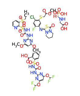 CCS(=O)(=O)c1cccnc1S(=O)(=O)NC(=O)Nc1nc(OC)cc(OC)n1.COC(=O)CSc1cc(/N=c2\sc(=O)n3n2CCCC3)c(F)cc1Cl.O=C(Nc1nc(OC(F)F)cc(OC(F)F)n1)NS(=O)(=O)c1ccccc1C(=O)O.O=C(O)CNCP(=O)(O)O